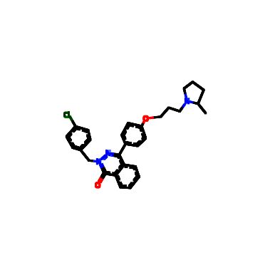 CC1CCCN1CCCOc1ccc(-c2nn(Cc3ccc(Cl)cc3)c(=O)c3ccccc23)cc1